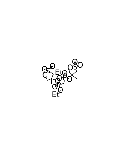 CCOP(=O)(CP(=O)(OCC)OC1(C)COS(=O)(=O)C1)OC1(C)COS(=O)(=O)C1